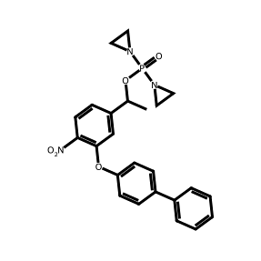 CC(OP(=O)(N1CC1)N1CC1)c1ccc([N+](=O)[O-])c(Oc2ccc(-c3ccccc3)cc2)c1